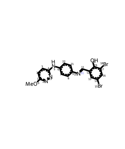 COc1ccc(Nc2ccc(/N=C/c3cc(Br)cc(Br)c3O)cc2)nn1